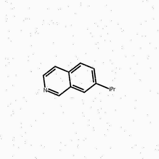 CC(C)c1ccc2ccncc2c1